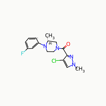 C[C@@H]1CN(C(=O)c2nn(C)cc2Cl)CCN1c1[c]ccc(F)c1